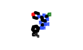 Cc1cccc(Nc2nc3c(N4CCOCC4)nc(Cl)nc3[nH]2)c1